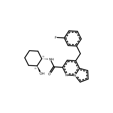 O=C(N[C@H]1CCCC[C@@H]1O)c1cc(Cc2cccc(F)c2)c2cccn2n1